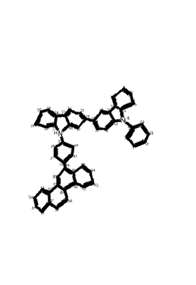 c1ccc(-n2c3ccccc3c3cc(-c4ccc5c6ccccc6n(-c6ccc(-c7cc8c9ccccc9ccc8c8ccccc78)cc6)c5c4)ccc32)cc1